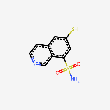 NS(=O)(=O)c1cc(S)cc2ccncc12